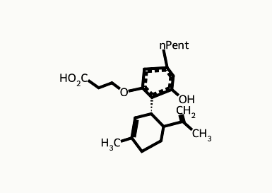 C=C(C)C1CCC(C)=C[C@@H]1c1c(O)cc(CCCCC)cc1OCCC(=O)O